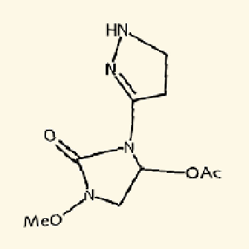 CON1CC(OC(C)=O)N(C2=NNCC2)C1=O